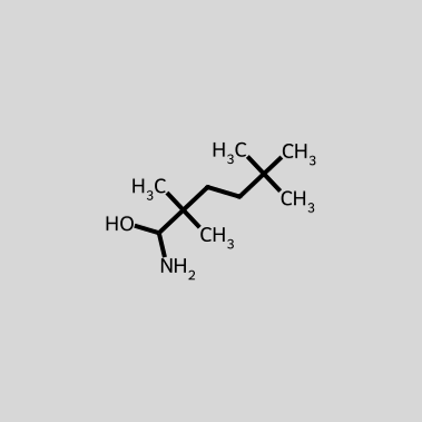 CC(C)(C)CCC(C)(C)C(N)O